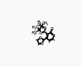 CC1(C)OB(c2c(C3OCCO3)ccnc2Cl)OC1(C)C